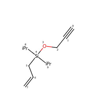 C#CCO[Si](CC=C)(C(C)C)C(C)C